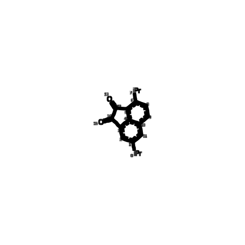 CC(C)c1cc2c3c(c(C(C)C)ccc3c1)C(=O)C2=O